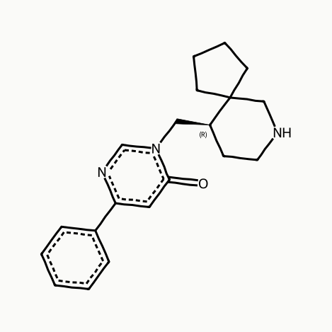 O=c1cc(-c2ccccc2)ncn1C[C@@H]1CCNCC12CCCC2